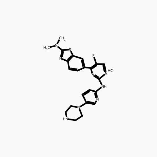 CN(C)c1nc2ccc(-c3nc(Nc4ccc(N5CCNCC5)cn4)ncc3F)cc2s1.Cl